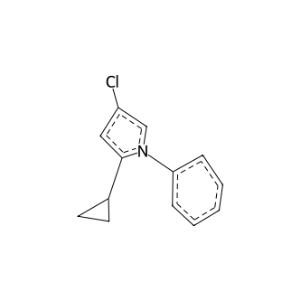 Clc1cc(C2CC2)n(-c2ccccc2)c1